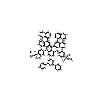 CC(C)(C)c1ccc(N2c3cc(-c4cc(-c5ccccc5)nc(-c5ccccc5)c4)cc4c3B(c3cc5c6cccc7cccc(c8cccc(c32)c85)c76)c2cc3c5cccc6cccc(c7cccc(c2N4c2ccc(C(C)(C)C)cc2)c73)c65)cc1